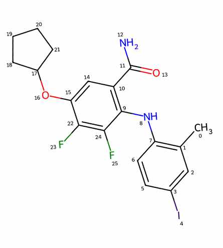 Cc1cc(I)ccc1Nc1c(C(N)=O)cc(OC2CCCC2)c(F)c1F